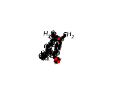 C=CCOC(=O)N1CCC2(CC1)CCN(C(=O)[C@@H](NC(=O)[C@@H]1CN(C(=O)c3cnn(Cc4ccccc4C(=O)OC)c3)CC13CN(C(=O)C1(C(F)(F)F)CC1)C3)[C@@H](C)OCC13CCC(CC1)OC3)CC2